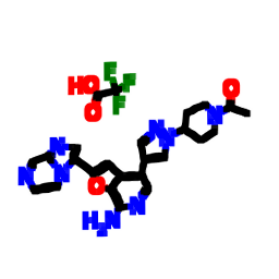 CC(=O)N1CCC(n2cc(-c3cnc(N)c4oc(-c5cnc6cnccn56)cc34)cn2)CC1.O=C(O)C(F)(F)F